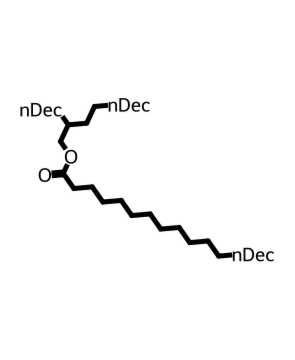 CCCCCCCCCCCCCCCCCCCCCC(=O)OCC(CCCCCCCCCC)CCCCCCCCCCCC